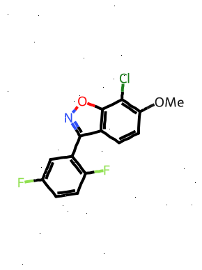 COc1ccc2c(-c3cc(F)ccc3F)noc2c1Cl